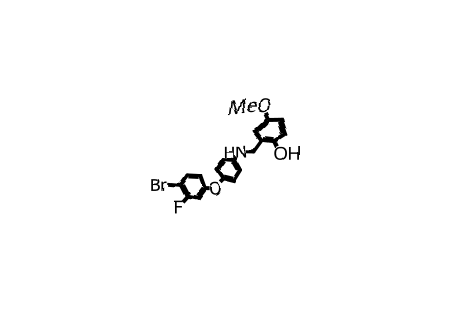 COc1ccc(O)c(CNc2ccc(Oc3ccc(Br)c(F)c3)cc2)c1